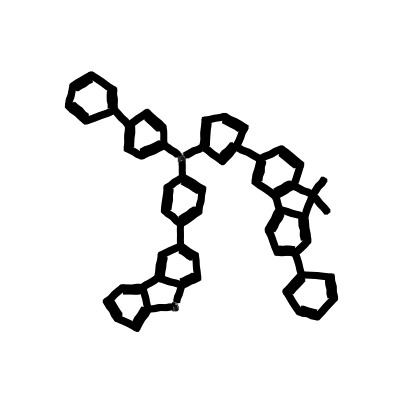 CC1(C)c2ccc(-c3cccc(N(c4ccc(-c5ccccc5)cc4)c4ccc(-c5ccc6sc7ccccc7c6c5)cc4)c3)cc2-c2ccc(-c3ccccc3)cc21